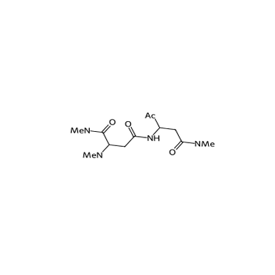 CNC(=O)CC(NC(=O)CC(NC)C(=O)NC)C(C)=O